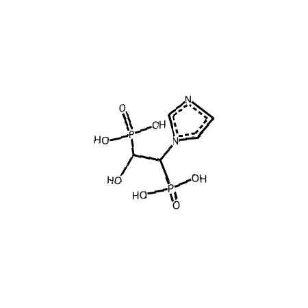 O=P(O)(O)C(O)C(n1ccnc1)P(=O)(O)O